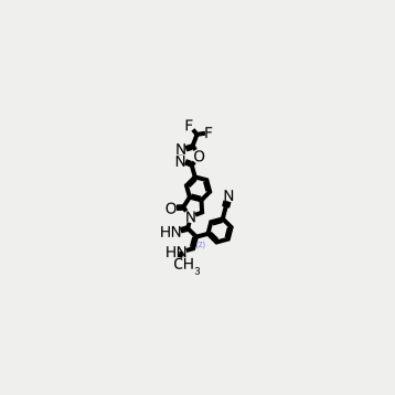 CN/C=C(\C(=N)N1Cc2ccc(-c3nnc(C(F)F)o3)cc2C1=O)c1cccc(C#N)c1